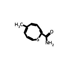 Cc1cccsc(C(N)=O)ccc1